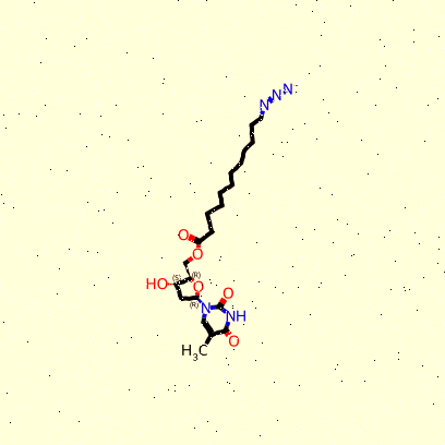 Cc1cn([C@H]2C[C@H](O)[C@@H](COC(=O)CCCCCCCCCCCN=[N+]=[N-])O2)c(=O)[nH]c1=O